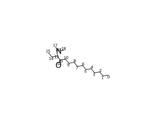 CCCCCCCCCCCC(=O)C(CC)N(C)C